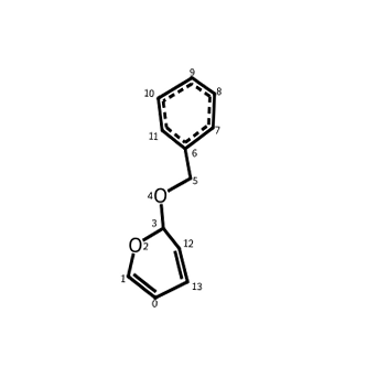 C1=COC(OCc2ccccc2)C=C1